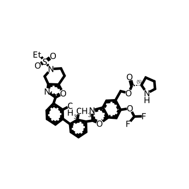 CCS(=O)(=O)N1CCc2oc(-c3cccc(-c4cccc(-c5nc6cc(COC(=O)[C@@H]7CCCN7)c(OC(F)F)cc6o5)c4C)c3C)nc2C1